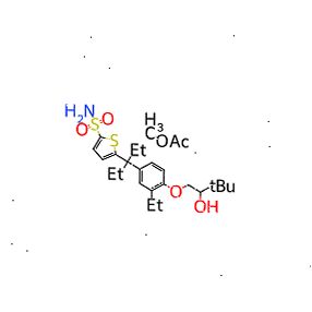 CCc1cc(C(CC)(CC)c2ccc(S(N)(=O)=O)s2)ccc1OCC(O)C(C)(C)C.COC(C)=O